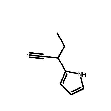 [C]#CC(CC)c1ccc[nH]1